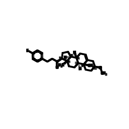 CO[C@H]1CC[C@@]2(C)C(=CC[C@H]3[C@@H]4CC[C@H](C(=O)CCc5ccc(F)cc5)[C@@]4(C)CC[C@@H]32)C1